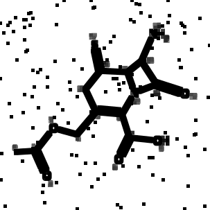 CC(=O)OCC1=C(C(=O)O)N2C(=O)C(N)C2C(=S)C1